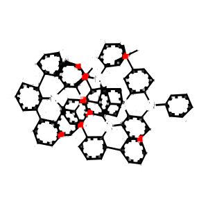 CC(C)(C)c1ccc2c(c1)B1c3cc(C(C)(C)Cc4cccc(-c5cccc(-c6ccccc6)c5N5c6ccccc6B6c7ccccc7N(c7ccccc7)c7cccc5c76)c4)ccc3N(c3c(-c4ccccc4)cccc3-c3ccccc3)c3cccc(c31)N2c1ccccc1